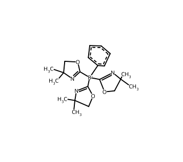 CC1(C)COC([B-](C2=NC(C)(C)CO2)(C2=NC(C)(C)CO2)c2ccccc2)=N1